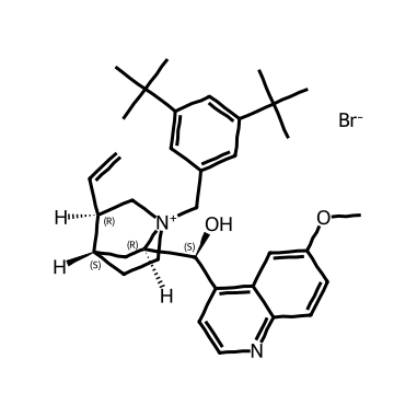 C=C[C@H]1C[N+]2(Cc3cc(C(C)(C)C)cc(C(C)(C)C)c3)CC[C@H]1C[C@@H]2[C@@H](O)c1ccnc2ccc(OC)cc12.[Br-]